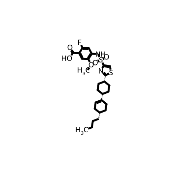 CCCC[C@@H]1CC=C([C@H]2CC[C@@H](c3nc(S(=O)(=O)Nc4cc(F)c(C(=O)O)cc4OC)cs3)CC2)CC1